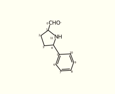 O=[C]C1CCC(c2ccccc2)N1